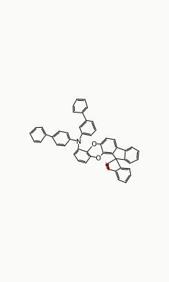 c1ccc(-c2ccc(N(c3cccc(-c4ccccc4)c3)c3cccc4c3Oc3ccc5c(c3O4)C3(c4ccccc4-c4ccccc43)c3ccccc3-5)cc2)cc1